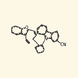 C#Cc1c(/C=C\Cc2ccccc2-n2c3ccccc3c3ccc(C#N)cc32)oc2ccccc12